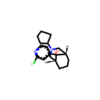 O[C@]1(c2ccnc(Cl)c2)[C@@H]2CCC[C@H]1CN(C1CCCC1)C2